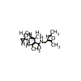 C=N/C(NC1(C)CC1)=C(\C)C(C(=O)NCc1nc(C)oc1C)=C(C)C